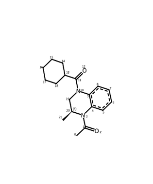 CC(=O)N1c2ccccc2N(C(=O)C2CCCCC2)C[C@@H]1C